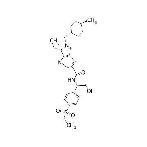 CC[C@H]1c2ncc(C(=O)N[C@@H](CO)c3ccc(S(=O)(=O)CC)cc3)cc2CN1C[C@H]1CC[C@H](C)CC1